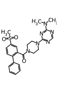 CN(C)c1ncnc(N2CCN(C(=O)c3cc(S(C)(=O)=O)ccc3-c3ccccc3)CC2)n1